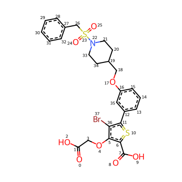 O=C(O)COc1c(C(=O)O)sc(-c2cccc(OCC3CCN(S(=O)(=O)Cc4ccccc4)CC3)c2)c1Br